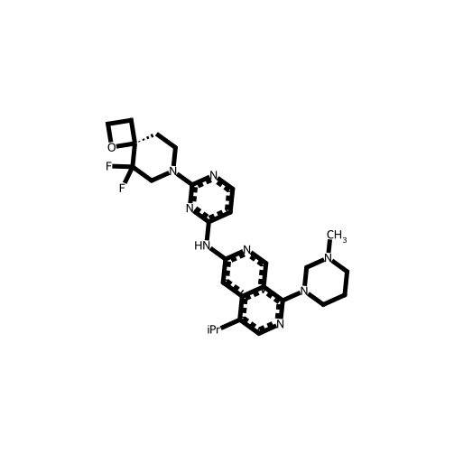 CC(C)c1cnc(N2CCCN(C)C2)c2cnc(Nc3ccnc(N4CC[C@]5(CCO5)C(F)(F)C4)n3)cc12